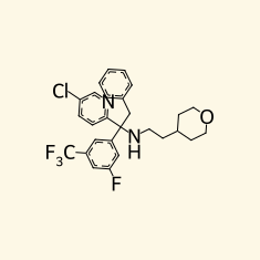 Fc1cc(C(F)(F)F)cc(C(Cc2ccccc2)(NCCC2CCOCC2)c2ccc(Cl)cn2)c1